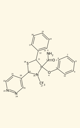 NC(=O)C1(Oc2ccccc2)C(c2ccccc2)SC(c2ccnnc2)N1C(F)(F)F